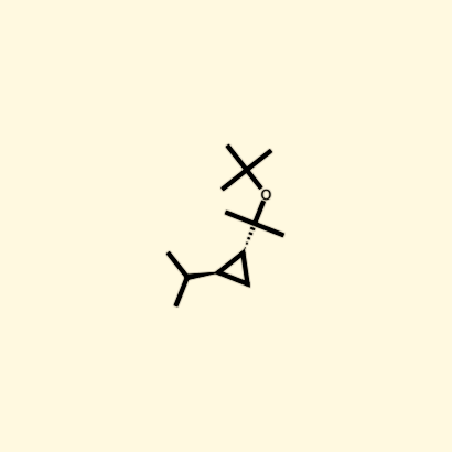 CC(C)[C@@H]1C[C@H]1C(C)(C)OC(C)(C)C